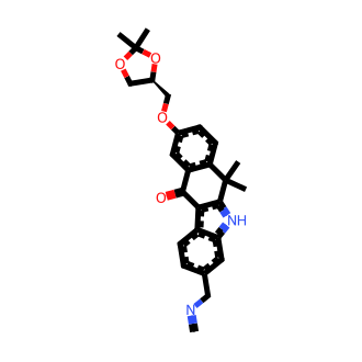 C=NCc1ccc2c3c([nH]c2c1)C(C)(C)c1ccc(OC[C@H]2COC(C)(C)O2)cc1C3=O